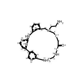 NCCN1CCCC(=O)CNCCNc2ccc(cn2)-c2ccnc(n2)Nc2cccc(c2)C1